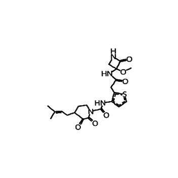 COC1(NC(=O)Cc2sccc2NC(=O)N2CCC(CC=C(C)C)C(=O)C2=O)CNC1=O